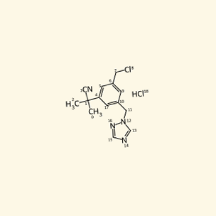 CC(C)(C#N)c1cc(CCl)cc(Cn2cncn2)c1.Cl